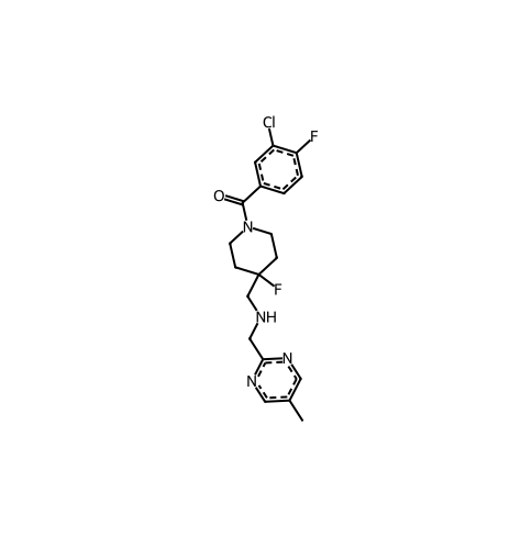 Cc1cnc(CNCC2(F)CCN(C(=O)c3ccc(F)c(Cl)c3)CC2)nc1